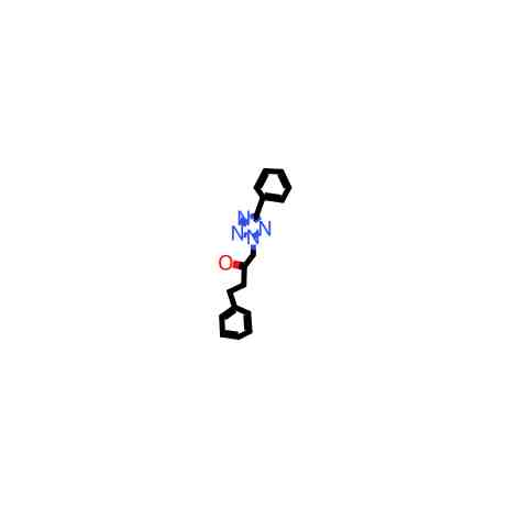 O=C(CCc1ccccc1)Cn1nnc(-c2ccccc2)n1